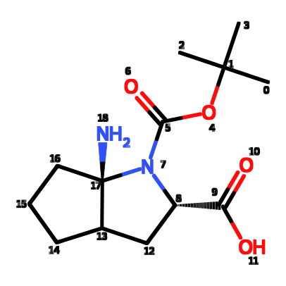 CC(C)(C)OC(=O)N1[C@H](C(=O)O)CC2CCC[C@@]21N